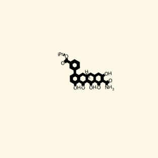 CC(C)OC(=O)c1cccc(-c2ccc(O)c3c2C[C@H]2CC4CC(O)=C(C(N)=O)C(=O)C4C(O)=C2C3=O)c1